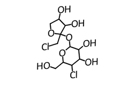 OCC1OC(OC2(CCl)OCC(O)C2O)C(O)C(O)C1Cl